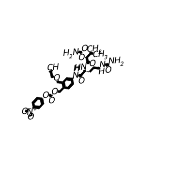 C#CCOCc1cc(NC(=O)[C@@H](CCCNC(N)=O)NC(=O)[C@H](OC(N)=O)C(C)C)ccc1COC(=O)Oc1ccc([N+](=O)[O-])cc1